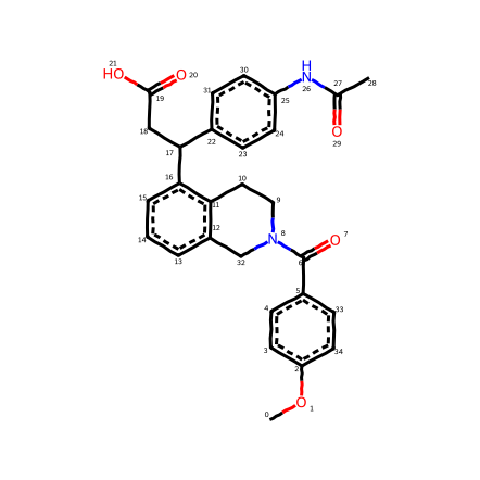 COc1ccc(C(=O)N2CCc3c(cccc3C(CC(=O)O)c3ccc(NC(C)=O)cc3)C2)cc1